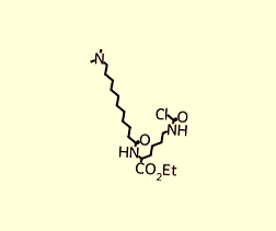 CCOC(=O)C(CCCCNC(=O)Cl)NC(=O)CCCCCCCCCCN(C)C